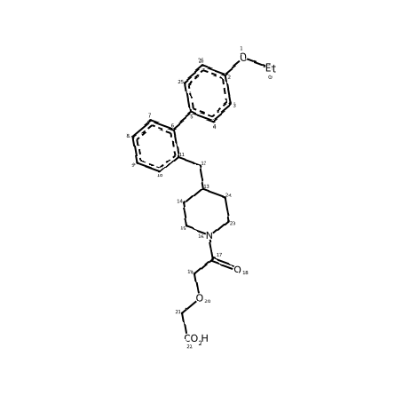 CCOc1ccc(-c2ccccc2CC2CCN(C(=O)COCC(=O)O)CC2)cc1